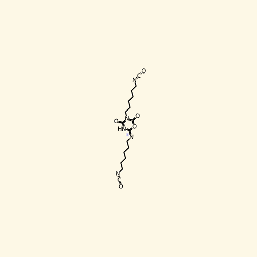 O=C=NCCCCCC/N=c1\[nH]c(=O)n(CCCCCCN=C=O)c(=O)o1